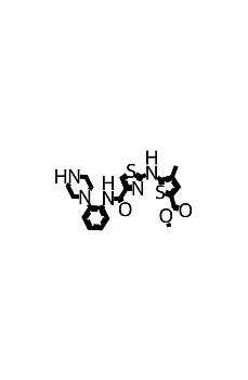 COC(=O)c1cc(C)c(Nc2nc(C(=O)Nc3ccccc3N3CCNCC3)cs2)s1